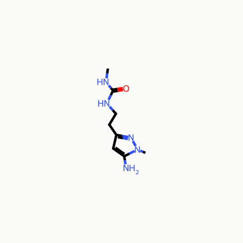 CNC(=O)NCCc1cc(N)n(C)n1